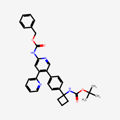 CC(C)(C)OC(=O)NC1(c2ccc(-c3cnc(NC(=O)OCc4ccccc4)cc3-c3ccccn3)cc2)CCC1